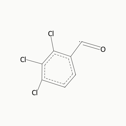 O=[C]c1ccc(Cl)c(Cl)c1Cl